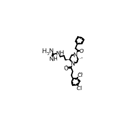 C[C@@H]1CN(C(=O)CCc2ccc(Cl)cc2Cl)[C@@H](CCCNC(=N)N)CN1C(=O)Cc1ccccc1